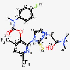 CN(C(=O)Oc1c(C(F)(F)F)cc(C(F)(F)F)nc1-n1ccn(CC(O)N(C)C)c1=S)c1ccc(F)cc1